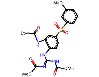 CCC(=O)Nc1cc(S(=O)(=O)c2cccc(OC)c2)ccc1NC(=NC(=O)OC)NC(=O)OC